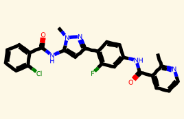 Cc1ncccc1C(=O)Nc1ccc(-c2cc(NC(=O)c3ccccc3Cl)n(C)n2)c(F)c1